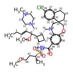 CC/C=C/[C@](CN1CCN(C)CC1)(OC)[C@@H]1CC[C@H]1CN1C[C@@]2(CCCc3cc(Cl)ccc32)COc2ccc(C(=O)NS(=O)(=O)[C@@H](C)CCOC)cc21